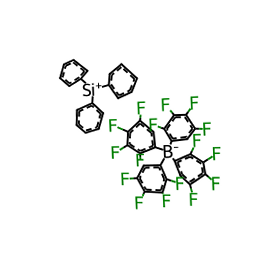 Fc1cc([B-](c2cc(F)c(F)c(F)c2F)(c2cc(F)c(F)c(F)c2F)c2cc(F)c(F)c(F)c2F)c(F)c(F)c1F.c1ccc([Si+](c2ccccc2)c2ccccc2)cc1